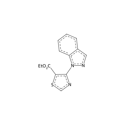 CCOC(=O)c1scnc1-n1ncc2ccccc21